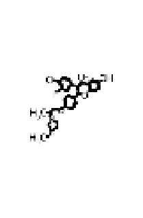 CC[C@@H]1CCN([C@@H](C)COc2ccc(C3Oc4ccc(O)cc4C(C)=C3c3ccc(Cl)c(F)c3)cc2)C1